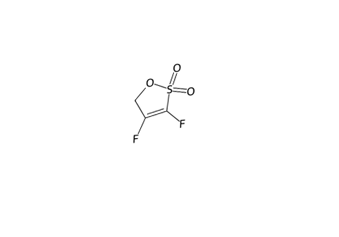 O=S1(=O)OCC(F)=C1F